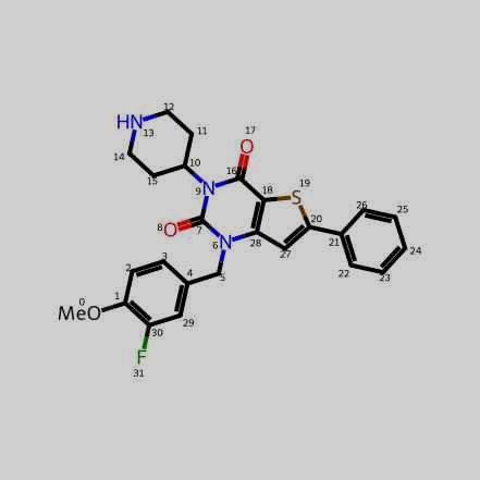 COc1ccc(Cn2c(=O)n(C3CCNCC3)c(=O)c3sc(-c4ccccc4)cc32)cc1F